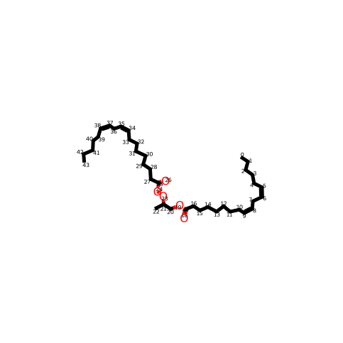 CCCCC/C=C\C/C=C\CCCCCCCC(=O)OCC(C)OOC(=O)CCCCCCC/C=C\C/C=C\CCCCC